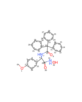 COc1ccc([C@@H](NC(=O)C(c2ccccc2)(c2ccccc2)c2ccccc2)C(=O)NO)cc1